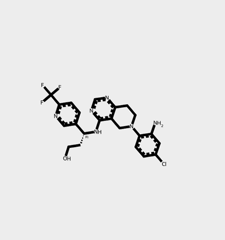 Nc1cc(Cl)ccc1N1CCc2ncnc(N[C@H](CCO)c3ccc(C(F)(F)F)nc3)c2C1